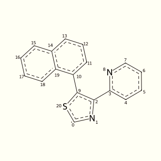 [c]1nc(-c2ccccn2)c(-c2cccc3ccccc23)s1